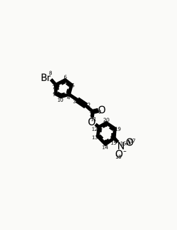 O=C(C#Cc1ccc(Br)cc1)Oc1ccc([N+](=O)[O-])cc1